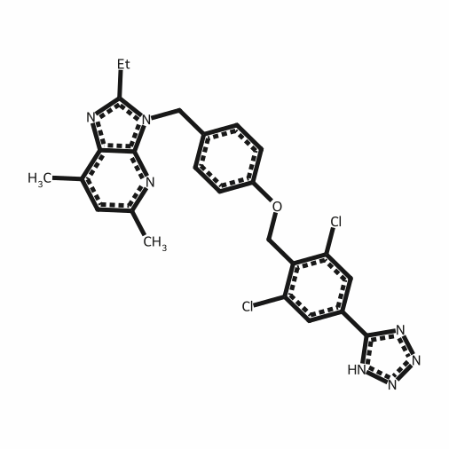 CCc1nc2c(C)cc(C)nc2n1Cc1ccc(OCc2c(Cl)cc(-c3nnn[nH]3)cc2Cl)cc1